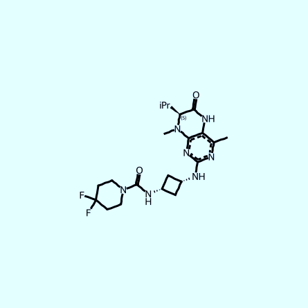 Cc1nc(N[C@H]2C[C@@H](NC(=O)N3CCC(F)(F)CC3)C2)nc2c1NC(=O)[C@H](C(C)C)N2C